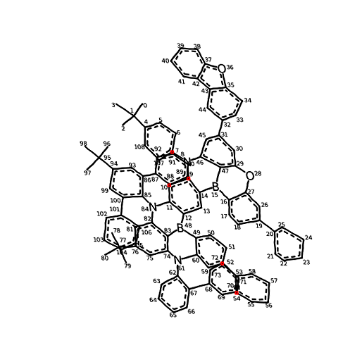 CC(C)(C)c1ccc(N2c3cc4c(cc3B3c5ccc(-c6ccccc6)cc5Oc5cc(-c6ccc7oc8ccccc8c7c6)cc2c53)B2c3ccc(-c5ccccc5)cc3N(c3ccccc3-c3ccccc3)c3cc(C(C)(C)C)cc(c32)N4c2c(-c3ccccc3)cc(C(C)(C)C)cc2-c2ccccc2)cc1